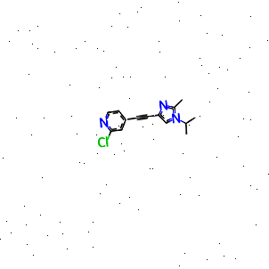 Cc1nc(C#Cc2ccnc(Cl)c2)cn1C(C)C